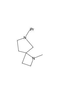 CC(C)N1CCC2(CCN2C)C1